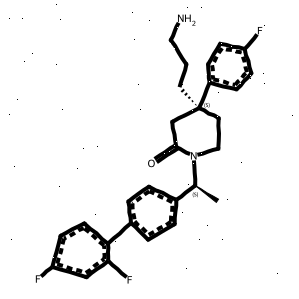 C[C@@H](c1ccc(-c2ccc(F)cc2F)cc1)N1CC[C@](CCCN)(c2ccc(F)cc2)CC1=O